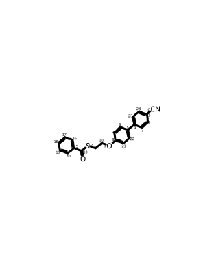 N#Cc1ccc(-c2ccc(OCCSC(=O)c3ccccc3)cc2)cc1